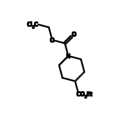 CCOC(=O)C1CCN(C(=O)OCC(Cl)(Cl)Cl)CC1